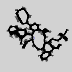 C=CC1=[N+](CC[Si](C)(C)C)C2CC(=C)[n+]3ccc(C4CCCCC4)cc3/C(c3oc4ccccc4c3C)=C(/N=C)CCC2c2ccccc21